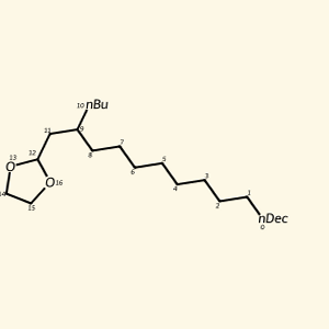 CCCCCCCCCCCCCCCCCCC(CCCC)CC1OCCO1